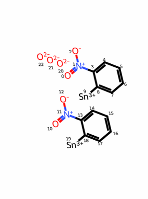 O=[N+]([O-])c1cccc[c]1[Sn+3].O=[N+]([O-])c1cccc[c]1[Sn+3].[O-2].[O-2].[O-2]